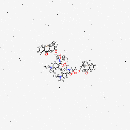 Cc1cc(OCC(O)CN(C(=O)c2ccc(N(C)C)cc2)C(C)COCC(C)N(CC(O)COc2cc(C)c3sc4ccccc4c(=O)c3c2)C(=O)c2ccc(N(C)C)cc2)cc2c(=O)c3ccccc3sc12